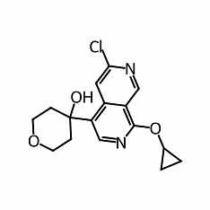 OC1(c2cnc(OC3CC3)c3cnc(Cl)cc23)CCOCC1